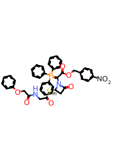 O=C(COc1ccccc1)NCC(=O)S[C@@H]1CC(=O)N1C(C(=O)OCc1ccc([N+](=O)[O-])cc1)=P(c1ccccc1)(c1ccccc1)c1ccccc1